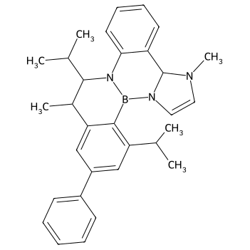 CC(C)c1cc(-c2ccccc2)cc2c1B1N3C=CN(C)C3c3ccccc3N1C(C(C)C)C2C